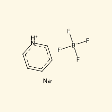 F[B-](F)(F)F.[Na].c1cc[nH+]cc1